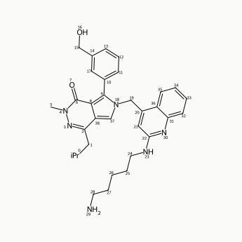 CC(C)Cc1nn(C)c(=O)c2c(-c3cccc(CO)c3)n(Cc3cc(NCCCCCN)nc4ccccc34)cc12